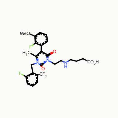 COc1cccc(-c2c(C)n(Cc3c(F)cccc3C(F)(F)F)c(=O)n(CCNCCCC(=O)O)c2=O)c1F